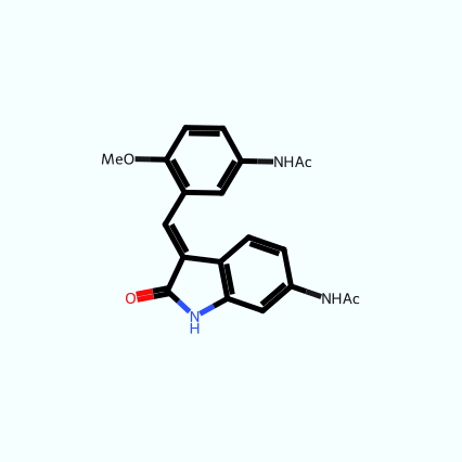 COc1ccc(NC(C)=O)cc1C=C1C(=O)Nc2cc(NC(C)=O)ccc21